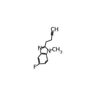 C#CCCc1nc2cc(F)ccc2n1C